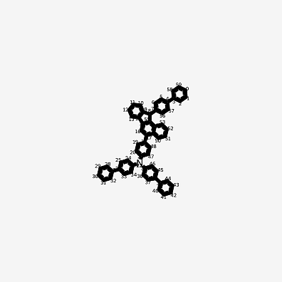 c1ccc(-c2ccc(C3c4ccccc4-c4cc(-c5ccc(N(c6ccc(-c7ccccc7)cc6)c6ccc(-c7ccccc7)cc6)cc5)c5ccccc5c43)cc2)cc1